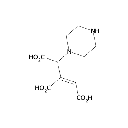 O=C(O)C=C(C(=O)O)C(C(=O)O)N1CCNCC1